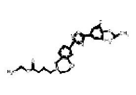 CCOC(=O)CCCN1CCOc2cc(-c3noc(-c4ccc(OC(C)C)c(Cl)c4)n3)ccc2C1